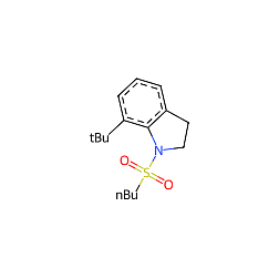 CCCCS(=O)(=O)N1CCc2cccc(C(C)(C)C)c21